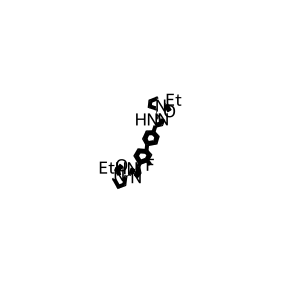 CCC(=O)N1CCC[C@H]1c1ncc(-c2ccc(-c3ccc(-c4cnc([C@@H]5CCCN5C(=O)CC)[nH]4)c(F)c3)cc2)[nH]1